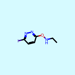 CCNOc1ccc(I)nn1